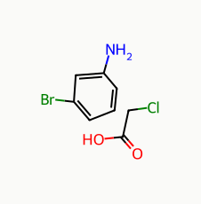 Nc1cccc(Br)c1.O=C(O)CCl